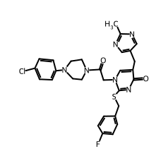 Cc1ncc(Cc2cn(CC(=O)N3CCN(c4ccc(Cl)cc4)CC3)c(SCc3ccc(F)cc3)nc2=O)cn1